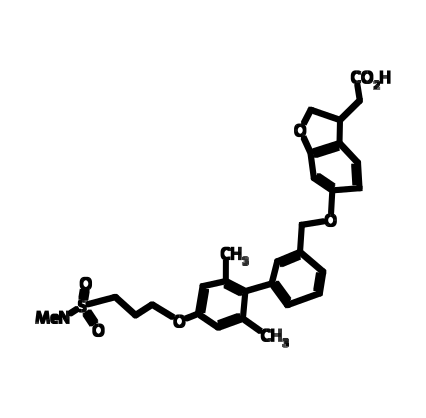 CNS(=O)(=O)CCCOc1cc(C)c(-c2cccc(COc3ccc4c(c3)OCC4CC(=O)O)c2)c(C)c1